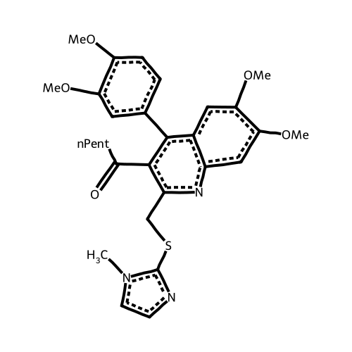 CCCCCC(=O)c1c(CSc2nccn2C)nc2cc(OC)c(OC)cc2c1-c1ccc(OC)c(OC)c1